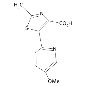 COc1ccc(-c2sc(C)nc2C(=O)O)nc1